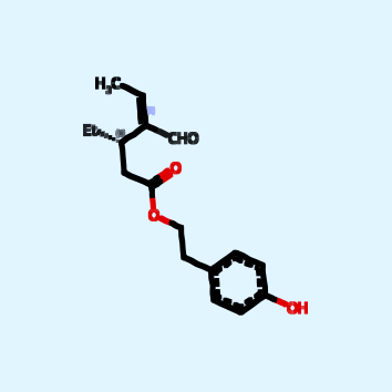 C/C=C(/C=O)[C@@H](CC)CC(=O)OCCc1ccc(O)cc1